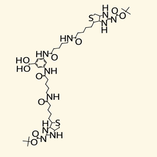 CC(C)(C)OC(=O)/N=C1/NC2CSC(CCCCC(=O)NCCCCC(=O)Nc3cc(NC(=O)CCCCNC(=O)CCCCC4SCC5N/C(=N\C(=O)OC(C)(C)C)NC54)cc(C(O)O)c3)C2N1